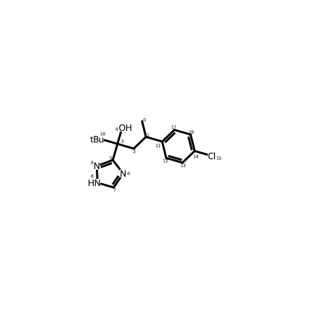 CC(CC(O)(c1nc[nH]n1)C(C)(C)C)c1ccc(Cl)cc1